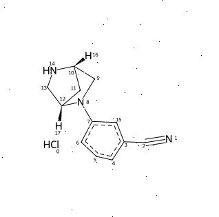 Cl.N#Cc1cccc(N2C[C@@H]3C[C@H]2CN3)c1